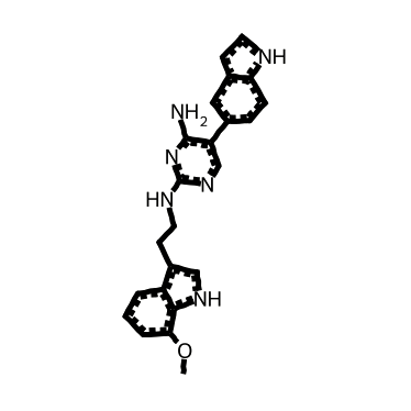 COc1cccc2c(CCNc3ncc(-c4ccc5[nH]ccc5c4)c(N)n3)c[nH]c12